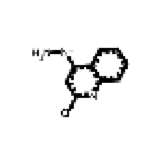 NNc1cc(Cl)nc2ccccc12